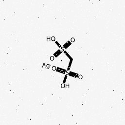 O=S(=O)(O)CS(=O)(=O)O.[Ag]